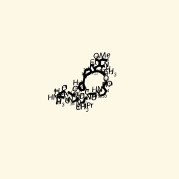 CCn1c(-c2cnccc2COC)c2c3cc(ccc31)-c1cc(O)cc(c1)C[C@H](NC(=O)[C@H](C(C)C)N(C)C(=O)CN(C)C(=O)CN1C[C@H]3N[C@H]3C1=O)C(=O)N1CCC[C@H](N1)C(=O)OCC(C)(C)C2